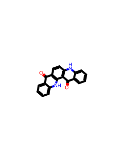 O=c1c2ccccc2[nH]c2c1ccc1[nH]c3ccccc3c(=O)c12